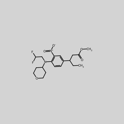 CCC(CC(=O)OC)c1ccc(N(CC(F)F)C2CCOCC2)c([N+](=O)[O-])c1